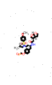 COc1ccc(S(=O)(=O)N(CC[C@H](Cc2ccc(OCP=O)cc2)NC(=O)C[C@H]2CO[C@H]3OCC[C@@H]23)CC(C)C)cc1